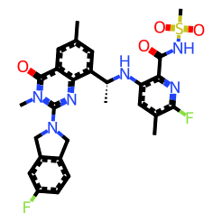 Cc1cc([C@@H](C)Nc2cc(C)c(F)nc2C(=O)NS(C)(=O)=O)c2nc(N3Cc4ccc(F)cc4C3)n(C)c(=O)c2c1